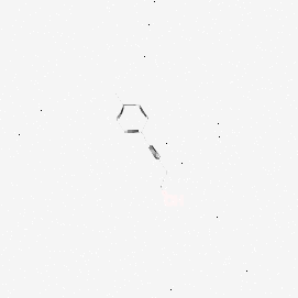 Cc1ccc(C#CCCO)cc1